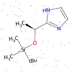 C[C@H](O[Si](C)(C)C(C)(C)C)c1ncc[nH]1